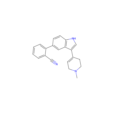 CN1CC=C(c2c[nH]c3ccc(-c4ccccc4C#N)cc23)CC1